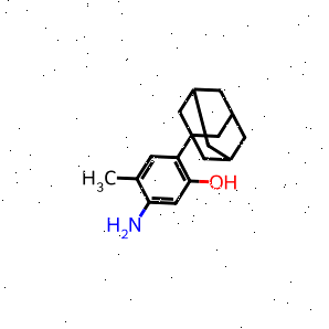 Cc1cc(C23CC4CC(CC(C4)C2)C3)c(O)cc1N